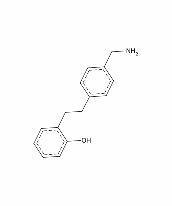 NCc1ccc(CCc2ccccc2O)cc1